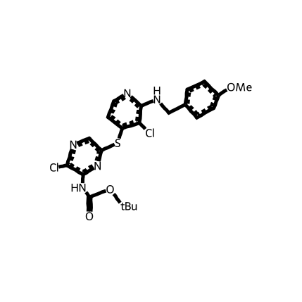 COc1ccc(CNc2nccc(Sc3cnc(Cl)c(NC(=O)OC(C)(C)C)n3)c2Cl)cc1